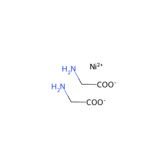 NCC(=O)[O-].NCC(=O)[O-].[Ni+2]